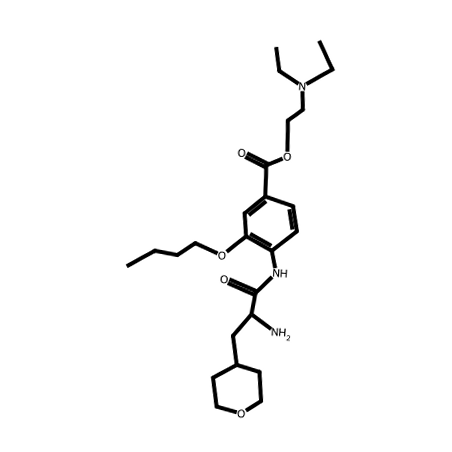 CCCCOc1cc(C(=O)OCCN(CC)CC)ccc1NC(=O)C(N)CC1CCOCC1